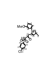 COc1cccc(-n2nc(C)cc2CC(=O)NS(=O)(=O)c2ccc(Cl)cc2)c1